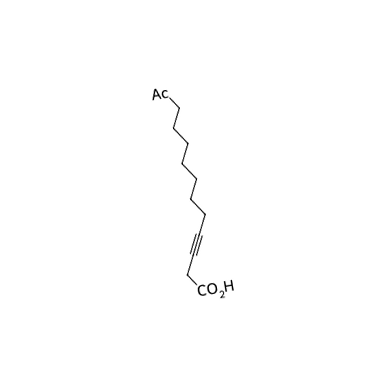 CC(=O)CCCCCCCC#CCC(=O)O